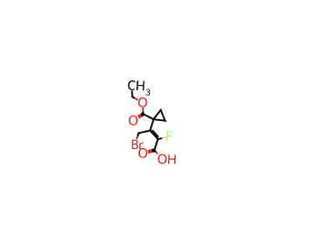 CCOC(=O)C1(C(CBr)=C(F)C(=O)O)CC1